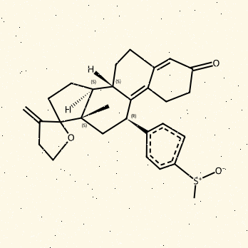 C=C1CCOC12CC[C@H]1[C@@H]3CCC4=CC(=O)CCC4=C3[C@@H](c3ccc([S+](C)[O-])cc3)C[C@@]12C